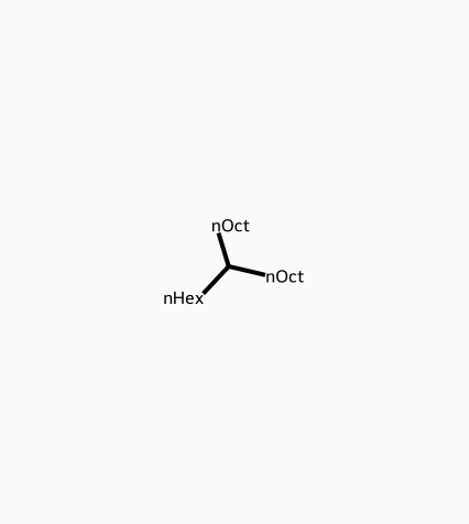 CCCCCCCCC(CCCCCC)CCCCCCCC